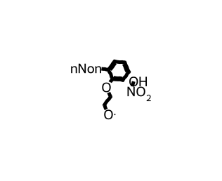 CCCCCCCCCc1ccccc1OCC[O].O=[N+]([O-])O